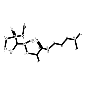 CCOP(=O)(OCC)C(N(OC(C)C(=O)NCCCN(C)C)C(C)(C)C)C(C)(C)C